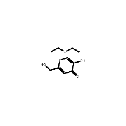 CCOCC.O=c1cc(CO)occ1O